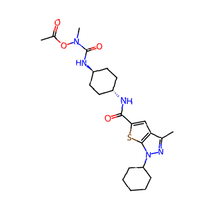 CC(=O)ON(C)C(=O)N[C@H]1CC[C@H](NC(=O)c2cc3c(C)nn(C4CCCCC4)c3s2)CC1